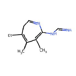 CCC1=C(C)C(C)=C(NC=N)N=CC1